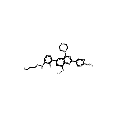 CC(C)Oc1cc(-c2cccc(NSCCCF)c2F)cc2c(N3CCOCC3)nc(-c3cnc(N)nc3)nc12